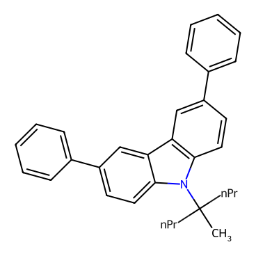 CCCC(C)(CCC)n1c2ccc(-c3ccccc3)cc2c2cc(-c3ccccc3)ccc21